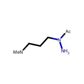 CNCCCN(N)C(C)=O